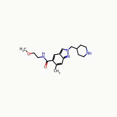 COCCNC(=O)c1cc2cn(CC3CCNCC3)nc2cc1C